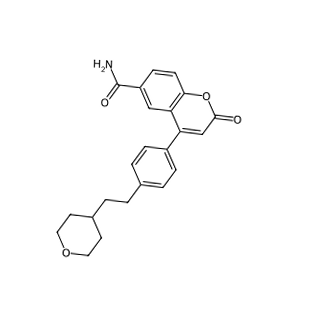 NC(=O)c1ccc2oc(=O)cc(-c3ccc(CCC4CCOCC4)cc3)c2c1